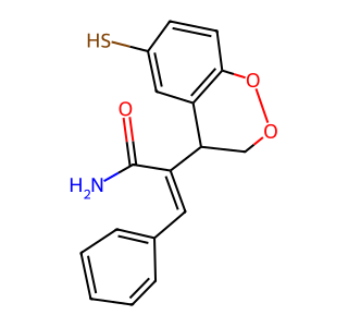 NC(=O)C(=Cc1ccccc1)C1COOc2ccc(S)cc21